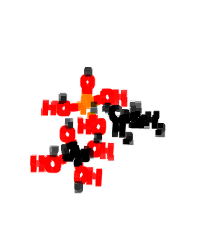 O=P(O)(O)O.O=[As](O)(O)O.[CaH2].[SrH2]